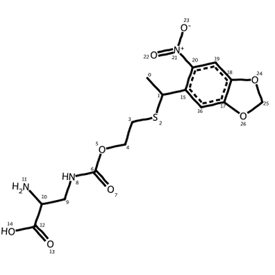 CC(SCCOC(=O)NCC(N)C(=O)O)c1cc2c(cc1[N+](=O)[O-])OCO2